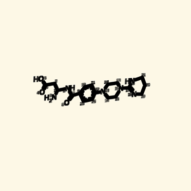 NC(CC(=O)O)NC(=O)c1ccc(N2CCN(C3=NCCCN3)CC2)cc1